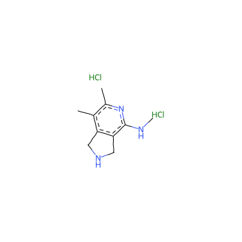 CNc1nc(C)c(C)c2c1CNC2.Cl.Cl